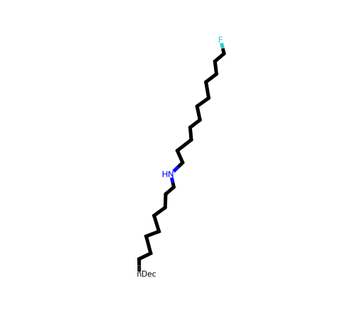 CCCCCCCCCCCCCCCCCCNCCCCCCCCCCCF